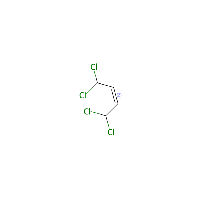 ClC(Cl)/C=C\C(Cl)Cl